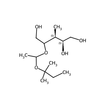 CCC(C)(C)OC(C)OC(CO)[C@@H](C)[C@H](O)CO